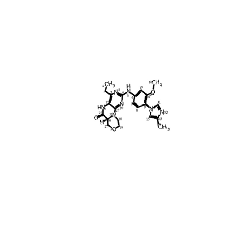 CCc1nc(Nc2ccc(-n3cnc(C)c3)c(OC)c2)nc2c1NC(=O)[C@H]1COCCN21